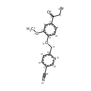 COc1cc(C(=O)CBr)ccc1OCc1ccc(C#N)cn1